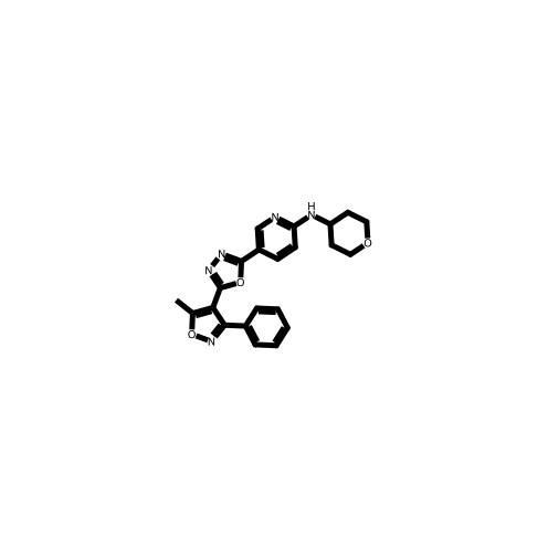 Cc1onc(-c2ccccc2)c1-c1nnc(-c2ccc(NC3CCOCC3)nc2)o1